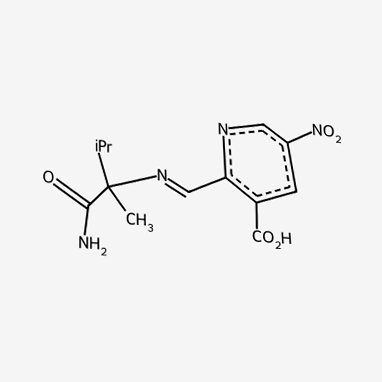 CC(C)C(C)(N=Cc1ncc([N+](=O)[O-])cc1C(=O)O)C(N)=O